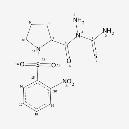 NC(=S)N(N)C(=O)C1CCCN1S(=O)(=O)c1ccccc1[N+](=O)[O-]